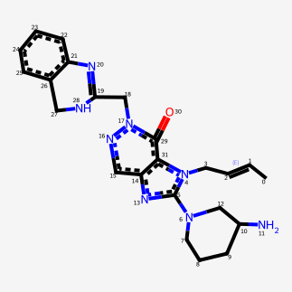 C/C=C/Cn1c(N2CCCC(N)C2)nc2cnn(CC3=Nc4ccccc4CN3)c(=O)c21